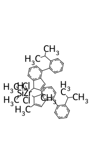 CC1=Cc2c(-c3ccccc3C(C)C)cccc2[CH]1[Zr]([Cl])([Cl])([CH]1C(C)=Cc2c(-c3ccccc3C(C)C)cccc21)[SiH](C)C